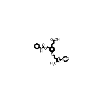 Cc1sc(N2CCOCC2)nc1CCOc1ccc(CCC(=O)O)c(COC(=O)NC2CCCCC2)c1